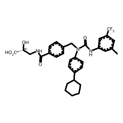 Cc1cc(NC(=O)N(Cc2ccc(C(=O)NC[C@@H](O)C(=O)O)cc2)c2ccc(C3CCCCC3)cc2)cc(C(F)(F)F)c1